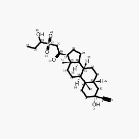 C#C[C@@]1(O)CC[C@@]2(C)[C@H](CC[C@@H]3[C@@H]2CC[C@]2(C)[C@@H](C(=O)CS(=O)(=O)C(O)CC)CC[C@@H]32)C1